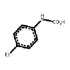 CCc1ccc(NC(=O)O)cc1